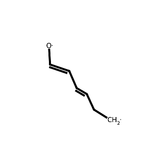 [CH2]CC=CC=C[O]